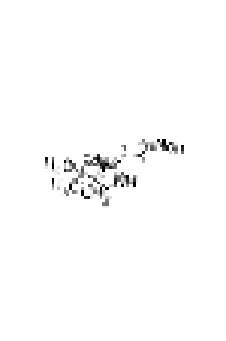 CCCCCCCCCCCC1=NC(C)(C(C)(C)C(C)(C)C)CN1